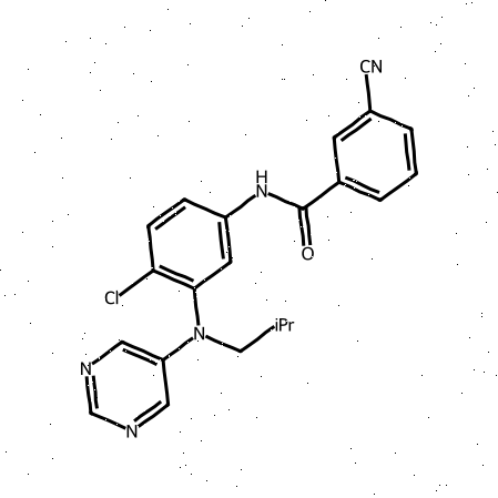 CC(C)CN(c1cncnc1)c1cc(NC(=O)c2cccc(C#N)c2)ccc1Cl